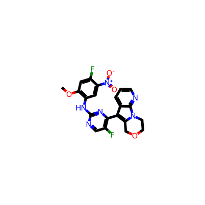 COc1cc(F)c([N+](=O)[O-])cc1Nc1ncc(F)c(-c2c3n(c4ncccc24)CCOC3)n1